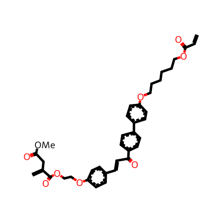 C=CC(=O)OCCCCCCOc1ccc(-c2ccc(C(=O)/C=C/c3ccc(OCCOC(=O)C(=C)CC(=O)OC)cc3)cc2)cc1